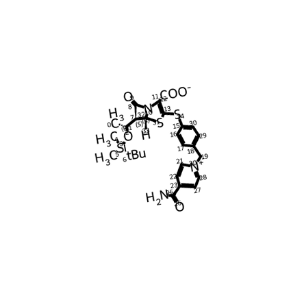 C[C@@H](O[Si](C)(C)C(C)(C)C)[C@H]1C(=O)N2C(C(=O)[O-])=C(Sc3ccc(C[n+]4ccc(C(N)=O)cc4)cc3)S[C@H]12